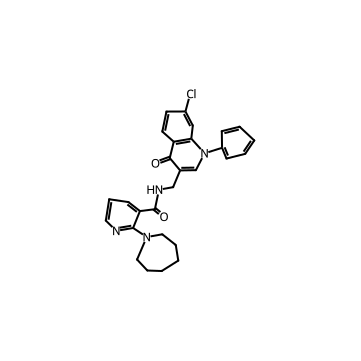 O=C(NCc1cn(-c2ccccc2)c2cc(Cl)ccc2c1=O)c1cccnc1N1CCCCCC1